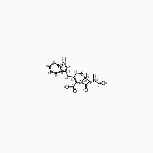 O=CN[C@@H]1C(=O)N2C(C(=O)[O-])=C(Cc3c[nH][n+]4ccccc34)CS[C@H]12